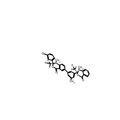 Cc1cc(-c2ccc3c(c2)C(=O)O[C@@](c2cccc(Cl)c2)(C(F)(F)F)N3C)cc([C@@]2(C(F)(F)F)OC(=O)c3ccccc3N2C)c1